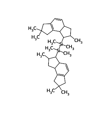 CC1CC2C3=C(C=CC2C1[Si](C)(C)[Si](C)(C)C1C(C)CC2C=CC4=C(CC(C)(C)C4)C21)CC(C)(C)C3